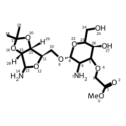 COC(=O)COC1C(N)[C@H](OC[C@H]2OC(N)[C@@H]3OC(C)(C)O[C@H]23)OC(CO)[C@H]1O